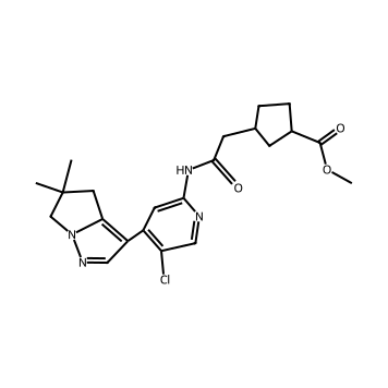 COC(=O)C1CCC(CC(=O)Nc2cc(-c3cnn4c3CC(C)(C)C4)c(Cl)cn2)C1